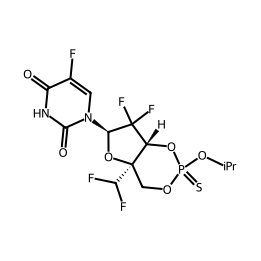 CC(C)OP1(=S)OC[C@@]2(C(F)F)O[C@@H](n3cc(F)c(=O)[nH]c3=O)C(F)(F)[C@@H]2O1